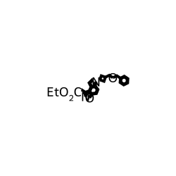 CCOC(=O)Cc1noc2ccc3c(ccn3C3CC(COCc4ccccc4)C3)c12